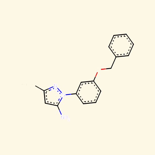 CCOC(=O)c1cc(N)n(-c2cccc(OCc3ccccc3)c2)n1